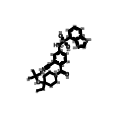 CCC1(OC(C)(F)F)CCN(C(=O)c2ccc(NS(=O)(=O)c3cccc4scnc34)cc2C#N)CC1